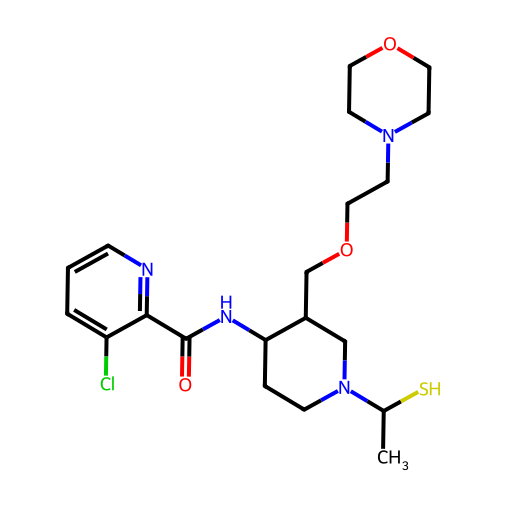 CC(S)N1CCC(NC(=O)c2ncccc2Cl)C(COCCN2CCOCC2)C1